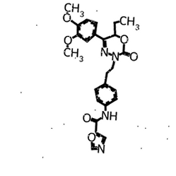 CCC1OC(=O)N(CCc2ccc(NC(=O)c3cnco3)cc2)N=C1c1ccc(OC)c(OC)c1